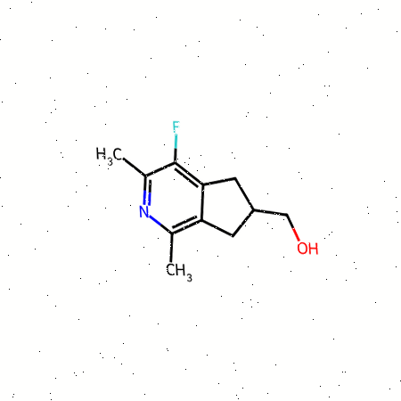 Cc1nc(C)c2c(c1F)CC(CO)C2